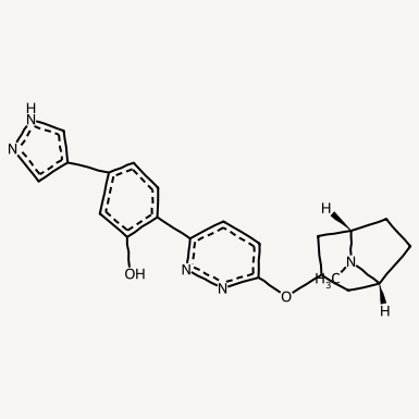 CN1[C@@H]2CC[C@H]1CC(Oc1ccc(-c3ccc(-c4cn[nH]c4)cc3O)nn1)C2